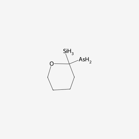 [SiH3]C1([AsH2])CCCCO1